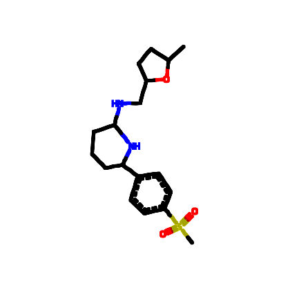 CC1CCC(CNC2CCCC(c3ccc(S(C)(=O)=O)cc3)N2)O1